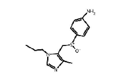 CCCn1cnc(C)c1C[S+]([O-])c1ccc(N)cc1